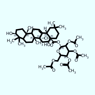 CC(=O)OCC1O[C@H](OC(=O)[C@]23CCC(C)(C)C[C@H]2C2=CCC4[C@@]5(C)CC[C@H](O)C(C)(C)C5CC[C@@]4(C)[C@]2(C)C[C@H]3O)C(OC(C)=O)C(OC(C)=O)[C@@H]1OC(C)=O